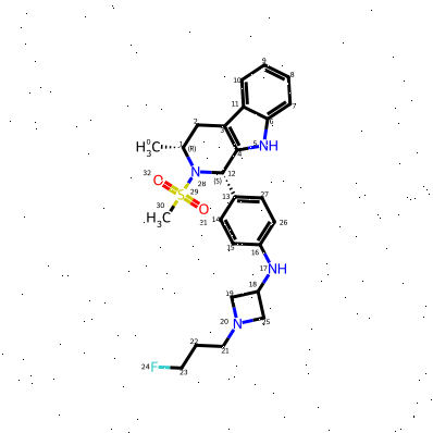 C[C@@H]1Cc2c([nH]c3ccccc23)[C@H](c2ccc(NC3CN(CCCF)C3)cc2)N1S(C)(=O)=O